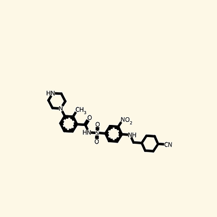 Cc1c(C(=O)NS(=O)(=O)c2ccc(NCC3CCC(C#N)CC3)c([N+](=O)[O-])c2)cccc1N1CCNCC1